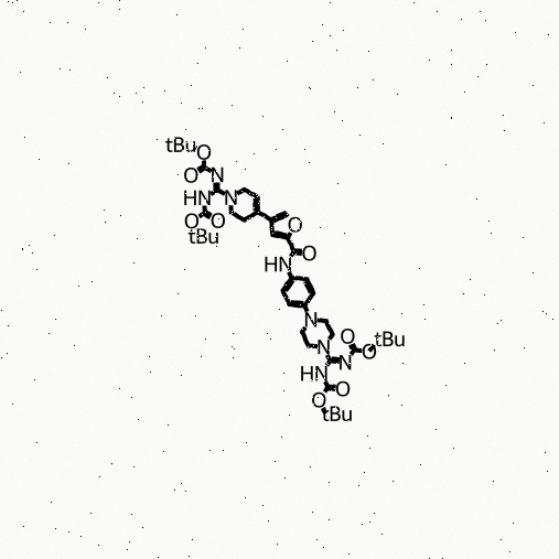 CC(C)(C)OC(=O)/N=C(/NC(=O)OC(C)(C)C)N1CCN(c2ccc(NC(=O)c3cc(C4=CCN(/C(=N/C(=O)OC(C)(C)C)NC(=O)OC(C)(C)C)CC4)co3)cc2)CC1